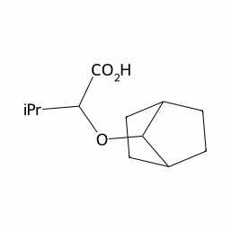 CC(C)C(OC1C2CCC1CC2)C(=O)O